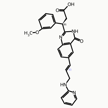 COc1cccc([C@@H](CC(=O)O)c2nc3ccc(/C=C/CNc4ccccn4)cc3c(=O)[nH]2)c1